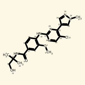 COc1cc(C(=O)NC(C)(C)CO)ccc1Nc1ncc(Cl)c(-c2cnn(C)c2)n1